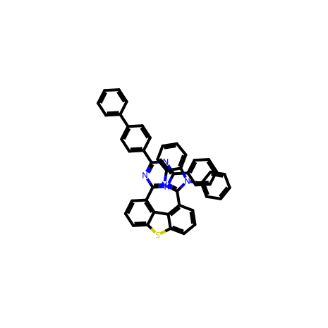 c1ccc(-c2ccc(-c3nc(-c4ccccc4)nc(-c4cccc5sc6cccc(-c7nc8ccccc8n7-c7ccccc7)c6c45)n3)cc2)cc1